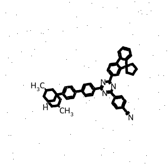 C[C@@H]1C[C@@H]2C[C@H](C)CC(c3ccc(-c4ccc(-c5nc(-c6ccc(C#N)cc6)nc(-c6ccc7c(c6)C6(CCCC6)c6ccccc6-7)n5)cc4)cc3)(C1)C2